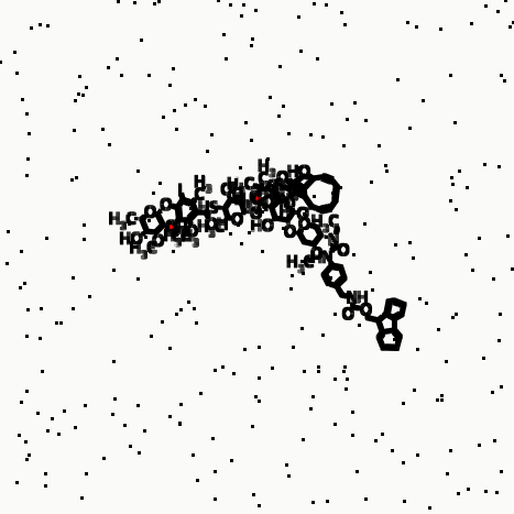 CCN(C(=O)Nc1ccc(CNC(=O)OCC2c3ccccc3-c3ccccc32)cc1)[C@H]1CO[C@@H](O[C@H]2[C@H](O[C@H]3C#CC=CC#C[C@]4(O)CC(=O)C(NC(=O)OC)=C3/C4=C\CSSC(C)(C)C)O[C@H](C)[C@@H](NO[C@H]3C[C@H](O)[C@H]([SH]=C(O)c4c(C)c(I)c(O[C@@H]5O[C@@H](C)[C@H](O)[C@@H](OC)[C@H]5O)c(OC)c4OC)[C@@H](C)O3)[C@@H]2O)C[C@@H]1OC